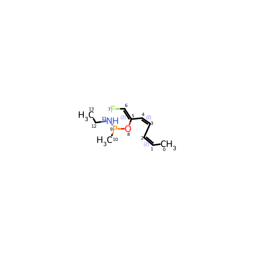 C\C=C/C=C\C(=C\F)OP(C)NCC